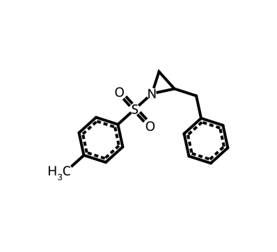 Cc1ccc(S(=O)(=O)N2CC2Cc2ccccc2)cc1